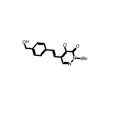 CC(C)(C)n1ncc(C=Cc2ccc(CO)cc2)c(Cl)c1=O